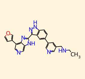 CCNCc1cncc(-c2ccc3[nH]nc(-c4nc5c(-c6ccoc6)cncc5[nH]4)c3c2)c1